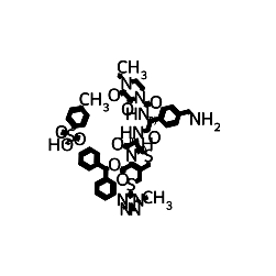 CCN1CCN(C(=O)N[C@@H](C(=O)N[C@@H]2C(=O)N3C(C(=O)OC(c4ccccc4)c4ccccc4)=C(CSc4nnnn4C)CS[C@H]23)c2ccc(CN)cc2)C(=O)C1=O.Cc1ccc(S(=O)(=O)O)cc1